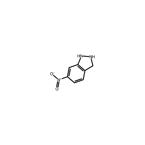 O=[N+]([O-])c1ccc2c(c1)NNC2